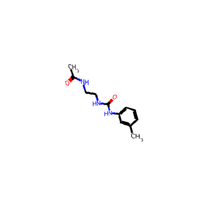 CC(=O)NCCNC(=O)Nc1cccc(C)c1